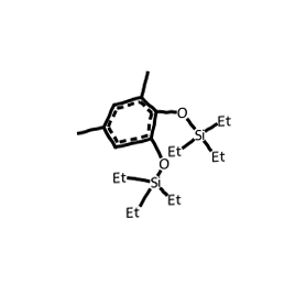 CC[Si](CC)(CC)Oc1cc(C)cc(C)c1O[Si](CC)(CC)CC